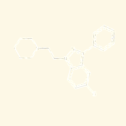 Clc1ccc2c(c1)c(-c1ccccc1)nn2CCN1CCCCC1